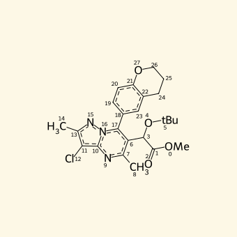 COC(=O)C(OC(C)(C)C)c1c(C)nc2c(Cl)c(C)nn2c1-c1ccc2c(c1)CCCO2